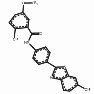 O=C(Nc1ccc(-c2nc3ccc(O)cc3s2)cc1)c1cc(OC(F)(F)F)ccc1O